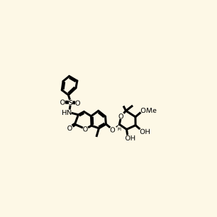 COC1C(O)C(O)[C@H](Oc2ccc3cc(NS(=O)(=O)c4ccccc4)c(=O)oc3c2C)OC1(C)C